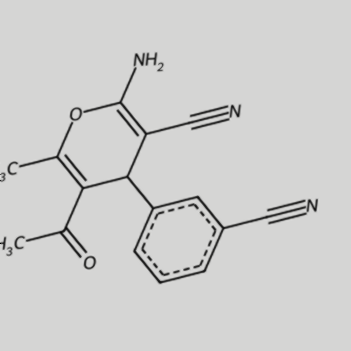 CC(=O)C1=C(C)OC(N)=C(C#N)C1c1cccc(C#N)c1